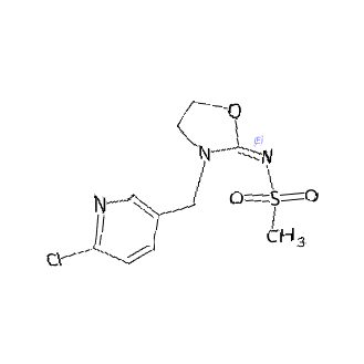 CS(=O)(=O)/N=C1/OCCN1Cc1ccc(Cl)nc1